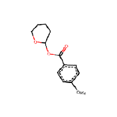 COc1ccc(C(=O)OC2CCCCO2)cc1